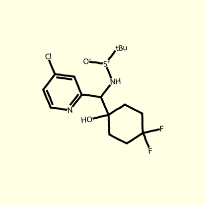 CC(C)(C)[S+]([O-])NC(c1cc(Cl)ccn1)C1(O)CCC(F)(F)CC1